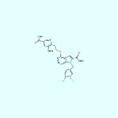 COC(=O)c1ccc(CCOc2cccc3c2cc(C(=O)OC)n3Cc2ccc(Cl)c(Cl)c2)c(OC)c1